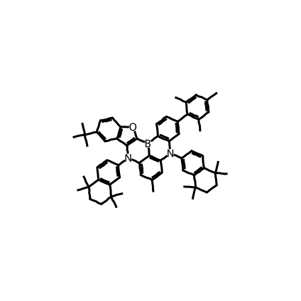 Cc1cc(C)c(-c2ccc3c(c2)N(c2ccc4c(c2)C(C)(C)CCC4(C)C)c2cc(C)cc4c2B3c2oc3ccc(C(C)(C)C)cc3c2N4c2ccc3c(c2)C(C)(C)CCC3(C)C)c(C)c1